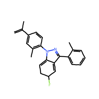 C=C(C)c1ccc(-n2nc(-c3ccccc3C)c3c2=CCC(F)C=3)c(C)c1